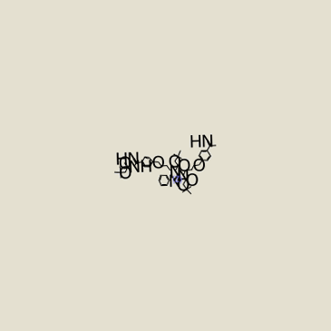 CC(=N)c1ccc(OCCCN(C(=O)OC(C)(C)C)/C(=N/c2ccccc2)N(CCCOc2ccc(C(=N)NC(=O)OC(C)(C)C)cc2)C(=O)OC(C)(C)C)cc1